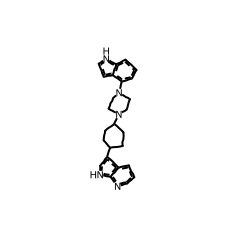 c1cc(N2CCN(C3CCC(c4c[nH]c5ncccc45)CC3)CC2)c2cc[nH]c2c1